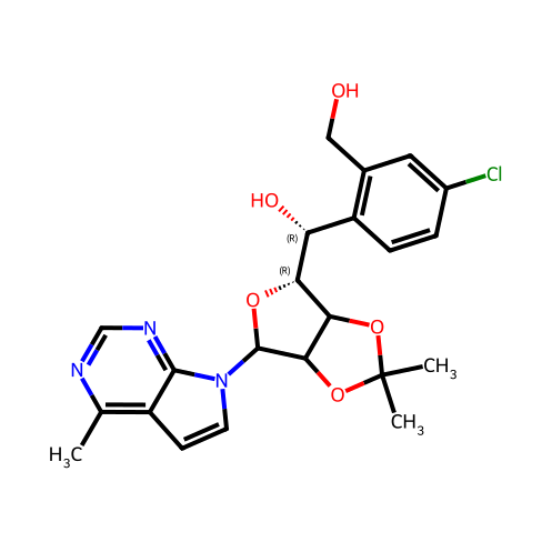 Cc1ncnc2c1ccn2C1O[C@H]([C@H](O)c2ccc(Cl)cc2CO)C2OC(C)(C)OC21